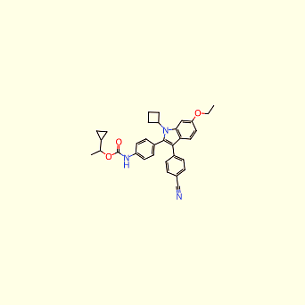 CCOc1ccc2c(-c3ccc(C#N)cc3)c(-c3ccc(NC(=O)OC(C)C4CC4)cc3)n(C3CCC3)c2c1